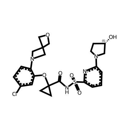 O=C(NS(=O)(=O)c1cccc(N2CC[C@H](O)C2)n1)C1(Oc2cc(Cl)ccc2N2CC3(COC3)C2)CC1